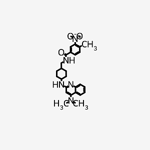 Cc1ccc(C(=O)NCC2CCC(Nc3cc(N(C)C)c4ccccc4n3)CC2)cc1[N+](=O)[O-]